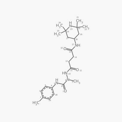 Cc1ccc(NC(=O)N(C)NC(=O)CCC(=O)NC2CC(C)(C)NC(C)(C)C2)cc1